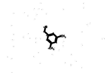 Cc1cc(C)cc([CH2][Al])c1